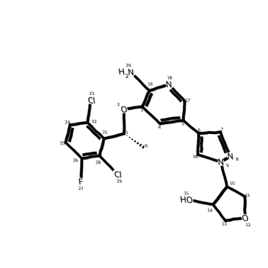 C[C@@H](Oc1cc(-c2cnn(C3COCC3O)c2)cnc1N)c1c(Cl)ccc(F)c1Cl